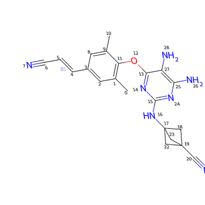 Cc1cc(/C=C/C#N)cc(C)c1Oc1nc(NC23CC(C#N)(C2)C3)nc(N)c1N